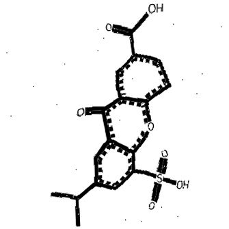 CC(C)c1cc(S(=O)(=O)O)c2oc3ccc(C(=O)O)cc3c(=O)c2c1